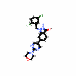 O=c1[nH]n(Cc2cc(Cl)ccc2Cl)c2cc(-c3cnc(N4CCOCC4)nc3)ccc12